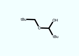 CC(C)(C)COC(O)C(C)(C)C